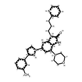 Cc1cccc(-c2ccn(-c3cc(N4CCOCC4)c4[nH]c(=O)n(CCCc5ccccn5)c4n3)n2)c1